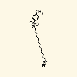 Cc1ccc(S(=O)(=O)OCCCCCCCCCCCCN=[N+]=[N-])cc1